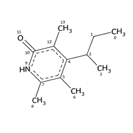 CCC(C)c1c(C)c(C)[nH]c(=O)c1C